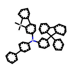 C[Si]1(C)c2ccccc2-c2ccc(N(c3ccc(-c4ccccc4)cc3)c3cccc(C4(c5ccccc5)c5ccccc5-c5ccccc54)c3)cc21